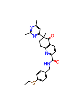 CCSc1ccc(CNC(=O)c2ccc3c(n2)CCC(C)(c2cc(C)nc(C)n2)C3=O)cc1